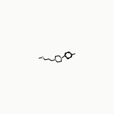 COCCCN1CCN(c2ccc(C)cc2)CC1